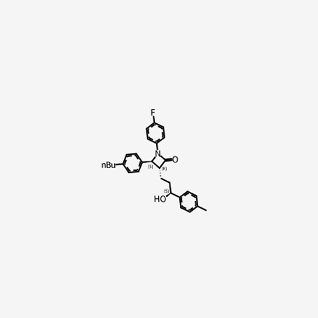 CCCCc1ccc([C@@H]2[C@@H](CC[C@H](O)c3ccc(C)cc3)C(=O)N2c2ccc(F)cc2)cc1